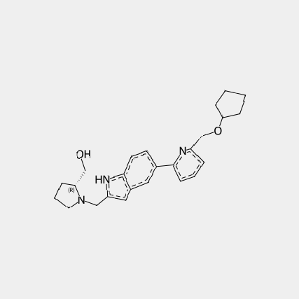 OC[C@H]1CCCN1Cc1cc2cc(-c3cccc(COC4CCCC4)n3)ccc2[nH]1